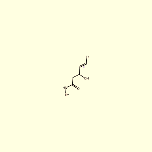 CC/C=C/C(O)CC(=O)NC(C)C